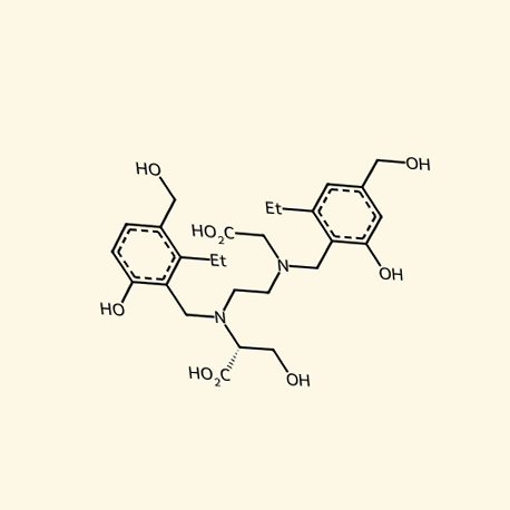 CCc1cc(CO)cc(O)c1CN(CCN(Cc1c(O)ccc(CO)c1CC)[C@H](CO)C(=O)O)CC(=O)O